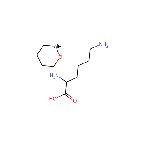 C1C[CH2][AlH][O]C1.NCCCCC(N)C(=O)O